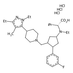 CCc1nn(CC)c(C2CCN(CC3CC(N(CC)[C@@H](C(=O)O)C(C)C)CC3c3cccc(F)c3)CC2)c1C.Cl.Cl.Cl